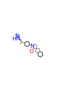 C=NN/C=C(\C)c1ccc(N2CCC3(Cc4ccccc4C3)C2=O)cc1